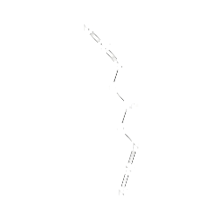 [N-]=[N+]=N[O][Sn][O]N=[N+]=[N-]